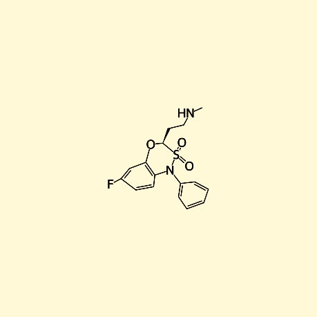 CNCC[C@@H]1Oc2cc(F)ccc2N(c2ccccc2)S1(=O)=O